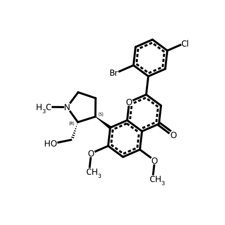 COc1cc(OC)c2c(=O)cc(-c3cc(Cl)ccc3Br)oc2c1[C@@H]1CCN(C)[C@H]1CO